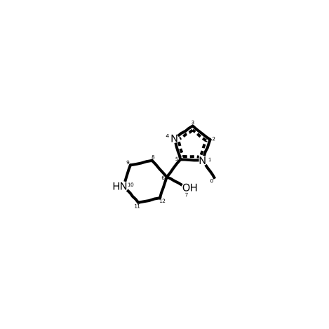 Cn1ccnc1C1(O)CCNCC1